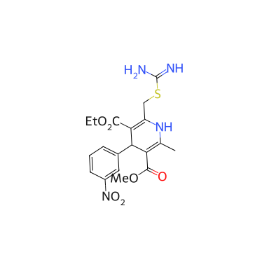 CCOC(=O)C1=C(CSC(=N)N)NC(C)=C(C(=O)OC)C1c1cccc([N+](=O)[O-])c1